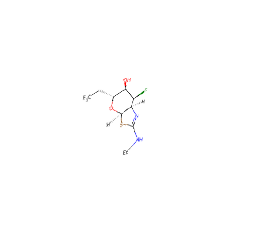 CCNC1=N[C@@H]2[C@H](F)[C@H](O)[C@@H](CC(F)(F)F)O[C@@H]2S1